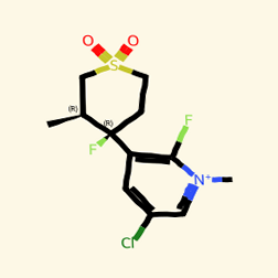 C[C@H]1CS(=O)(=O)CC[C@]1(F)c1cc(Cl)c[n+](C)c1F